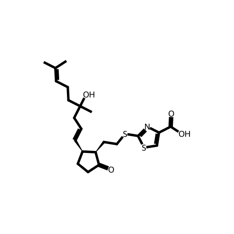 CC(C)=CCCC(C)(O)C/C=C/[C@@H]1CCC(=O)[C@@H]1CCSc1nc(C(=O)O)cs1